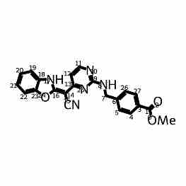 COC(=O)c1ccc(CNc2nccc(C(C#N)=C3Nc4ccccc4O3)n2)cc1